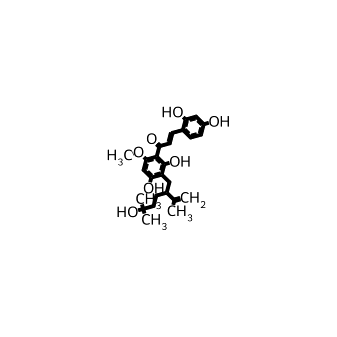 C=C(C)C(CCC(C)(C)O)Cc1c(O)cc(OC)c(C(=O)/C=C/c2ccc(O)cc2O)c1O